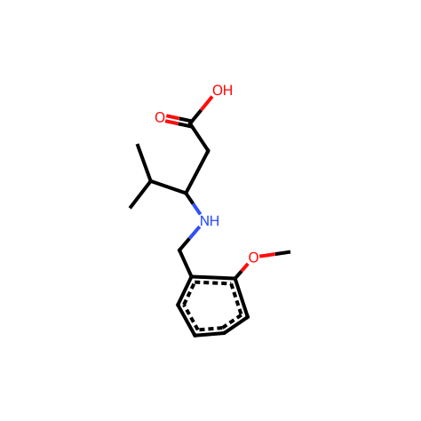 COc1ccccc1CNC(CC(=O)O)C(C)C